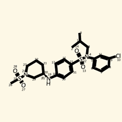 CC(C)CN(c1cccc(Cl)c1)S(=O)(=O)c1ccc(N[C@@H]2CCCN(S(C)(=O)=O)C2)cc1